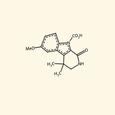 COc1ccc2c(c1)c1c(n2C(=O)O)C(=O)NCC1(C)C